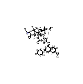 C=C[C@@H]1C[C@]1(NC(=O)[C@@H]1CC(Oc2cc(-c3ccccc3)nc3cc(OC)ccc23)CN1C(=O)[C@H](CNC(=O)/C=C/C)NC(=O)OC(C)(C)C)C(=O)O